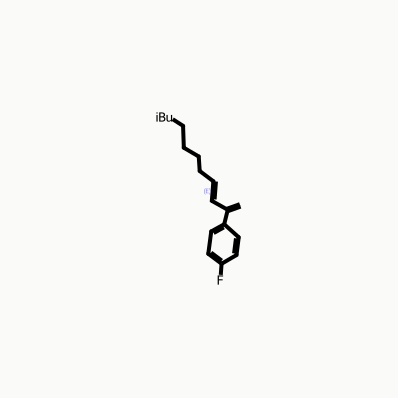 C=C(/C=C/CCCCC(C)CC)c1ccc(F)cc1